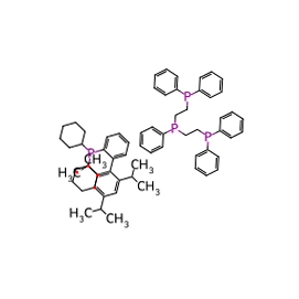 CC(C)c1cc(C(C)C)c(-c2ccccc2P(C2CCCCC2)C2CCCCC2)c(C(C)C)c1.c1ccc(P(CCP(c2ccccc2)c2ccccc2)CCP(c2ccccc2)c2ccccc2)cc1